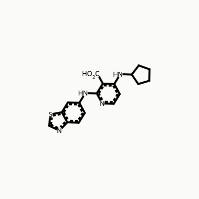 O=C(O)c1c(NC2CCCC2)ccnc1Nc1ccc2ncsc2c1